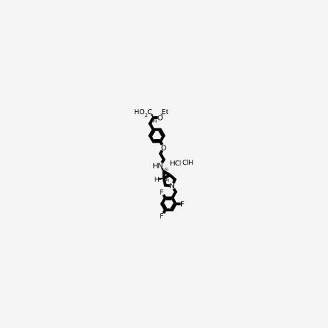 CCO[C@@H](Cc1ccc(OCCN[C@H]2C3CN(Cc4c(F)cc(F)cc4F)C[C@@H]32)cc1)C(=O)O.Cl.Cl